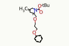 C[C@@H]1C[C@H](COCCCOc2ccccc2)N(C(=O)OC(C)(C)C)C1